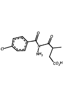 CC(CC(=O)O)C(=O)N(N)C(=O)c1ccc(Cl)cc1